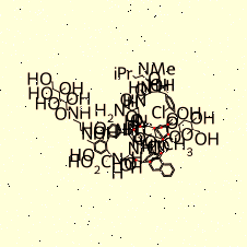 CN[C@H](CC(C)C)C(=O)N[C@H]1C(=O)N[C@@H](CC(N)=O)C(=O)N[C@H]2C(=O)N[C@@H]3C(=O)N[C@H](C(=O)N[C@H](C(=O)O)c4cc(O)c(CNCCCNC(=O)[C@H](O)[C@@H](O)[C@H](O)[C@H](O)CO)c(O)c4-c4cc3ccc4O)[C@H](O)c3ccc(c(Cl)c3)Oc3cc2cc(c3O[C@@H]2O[C@H](CO)C(O)C(O)[C@H]2O[C@@H]2C[C@@H](C)[C@@H](O)C(C)(NCc3cccc4ccccc34)C2)Oc2ccc(cc2Cl)[C@H]1O